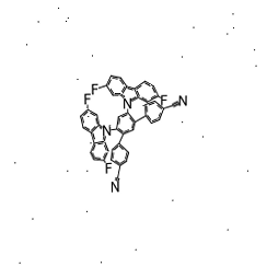 N#Cc1ccc(-c2cc(-c3ccc(C#N)cc3)c(-n3c4cc(F)ccc4c4ccc(F)cc43)cc2-n2c3cc(F)ccc3c3ccc(F)cc32)cc1